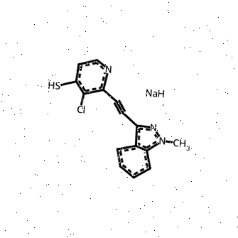 Cn1nc(C#Cc2nccc(S)c2Cl)c2ccccc21.[NaH]